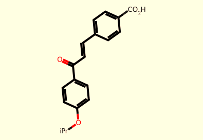 CC(C)Oc1ccc(C(=O)/C=C/c2ccc(C(=O)O)cc2)cc1